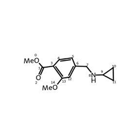 COC(=O)c1ccc(CNC2CC2)cc1OC